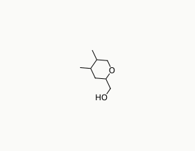 CC1COC(CO)CC1C